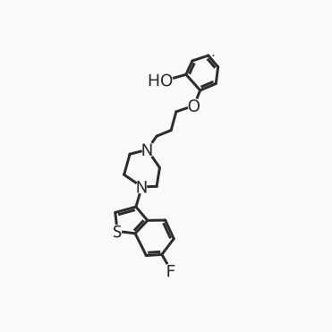 Oc1c[c]ccc1OCCCN1CCN(c2csc3cc(F)ccc23)CC1